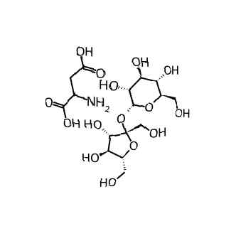 NC(CC(=O)O)C(=O)O.OC[C@H]1O[C@@](CO)(O[C@H]2O[C@H](CO)[C@@H](O)[C@H](O)[C@H]2O)[C@@H](O)[C@@H]1O